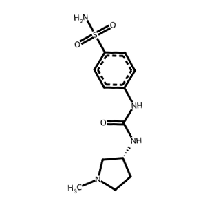 CN1CC[C@@H](NC(=O)Nc2ccc(S(N)(=O)=O)cc2)C1